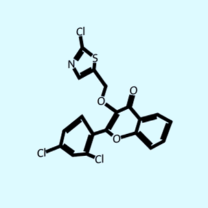 O=c1c(OCc2cnc(Cl)s2)c(-c2ccc(Cl)cc2Cl)oc2ccccc12